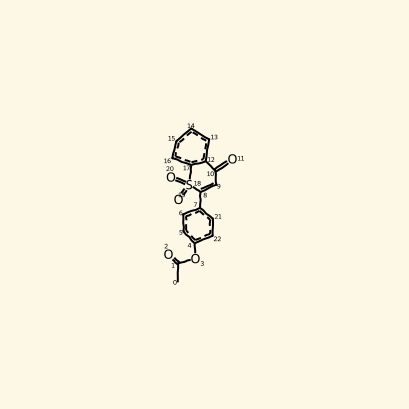 CC(=O)Oc1ccc(C2=CC(=O)c3ccccc3S2(=O)=O)cc1